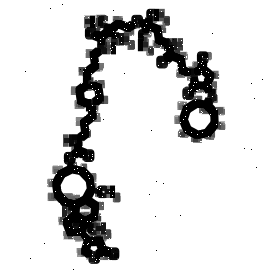 C[C@H]1CC[C@H](OC(=O)NCCCN2CCN(CCCNC(=O)C(C)(C)CCOC(C)(C)CCNC(=O)CCN3C(=O)CC(SC4CCCCCCCC4)C3=O)CC2)CCCC[C@@H]2C1CC[C@]1(C)[C@@H](C3=CC(=O)OC3)CC[C@]21O